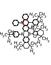 CC(C)(C)c1ccc(N2c3cc4c(cc3B3c5oc6c(c5N(c5ccc(C(C)(C)C)cc5-c5ccccc5)c5cc(N(c7ccccc7)c7ccccc7)cc2c53)C(C)(C)CCC6(C)C)C(C)(C)CCC4(C)C)cc1